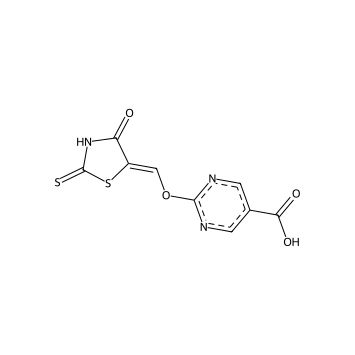 O=C1NC(=S)SC1=COc1ncc(C(=O)O)cn1